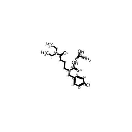 CCN(CC)C(=O)CCCN(Cc1ccc(Cl)cc1)C(O)=S.NC(O)=S